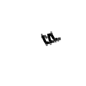 CC(C)(C)N.CC(C)(C)N.O=S(=O)(O)O